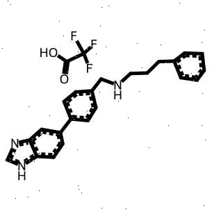 O=C(O)C(F)(F)F.c1ccc(CCCNCc2ccc(-c3ccc4[nH]cnc4c3)cc2)cc1